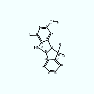 COc1cc(C)c2c(c1)C1C(N2)c2ccccc2C1(C)C